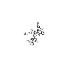 CC(C)(C)COC(=O)n1nc(NC(=O)c2ccccc2NC(=O)c2cc[nH]c2)c2cc(C(=O)NC(C)(C)c3ccccc3)sc21